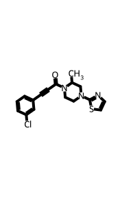 CC1CN(c2nccs2)CCN1C(=O)C#Cc1cccc(Cl)c1